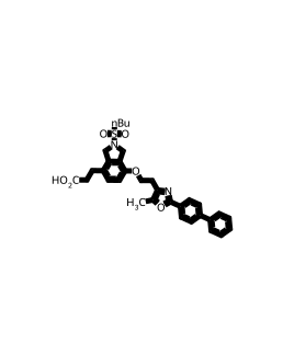 CCCCS(=O)(=O)N1Cc2c(CCC(=O)O)ccc(OCCc3nc(-c4ccc(-c5ccccc5)cc4)oc3C)c2C1